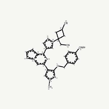 COc1ccc(COc2nn(C)cc2-c2cn3nccc3c(-c3cnn(C4(CC#N)CC(C#N)C4)c3)n2)cc1